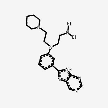 CCN(CC)CCN(CCN1CCCCC1)c1cccc(-c2nc3cncnc3[nH]2)c1